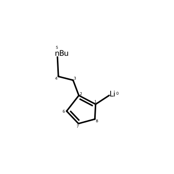 [Li][C]1=C(CCCCCC)C=CC1